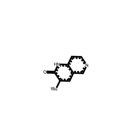 CC(C)(C)c1cc2cnccc2[nH]c1=O